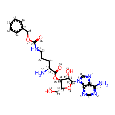 Nc1ncnc2c1ncn2[C@@H]1O[C@H](CO)[C@@H](OC(=O)[C@@H](N)CCCNC(=O)OCc2ccccc2)[C@H]1O